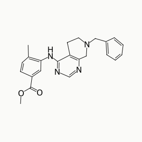 COC(=O)c1ccc(C)c(Nc2ncnc3c2CCN(Cc2ccccc2)C3)c1